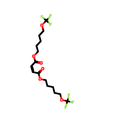 O=C(/C=C\C(=O)OCCCCCOC(F)(F)F)OCCCCCOC(F)(F)F